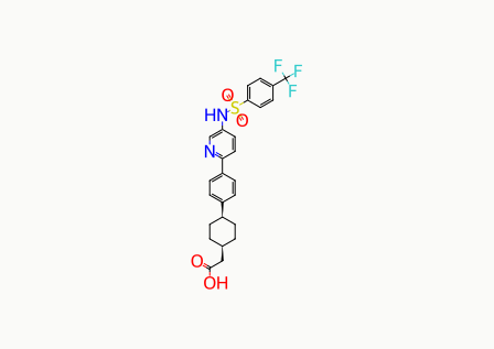 O=C(O)C[C@H]1CC[C@@H](c2ccc(-c3ccc(NS(=O)(=O)c4ccc(C(F)(F)F)cc4)cn3)cc2)CC1